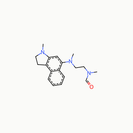 CN(C=O)CCN(C)c1cc2c(c3ccccc13)CCN2C